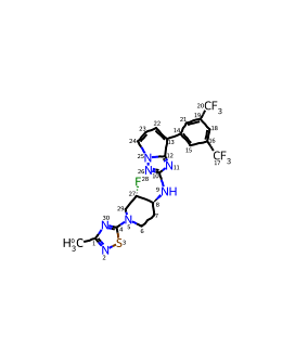 Cc1nsc(N2CC[C@H](Nc3nc4c(-c5cc(C(F)(F)F)cc(C(F)(F)F)c5)cccn4n3)[C@@H](F)C2)n1